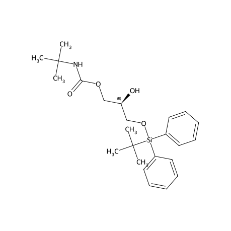 CC(C)(C)NC(=O)OC[C@@H](O)CO[Si](c1ccccc1)(c1ccccc1)C(C)(C)C